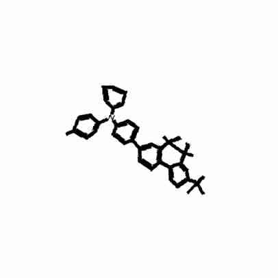 Cc1ccc(N(c2ccccc2)c2ccc(-c3ccc4c(c3)C(C)(C)C(C)(C)c3cc(C(C)(C)C)ccc3-4)cc2)cc1